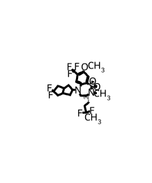 COc1cc2c(cc1C(F)(F)F)N(C1CC3CC(F)(F)CC3C1)C[C@@H](CCC(C)(F)F)N(C)S2(=O)=O